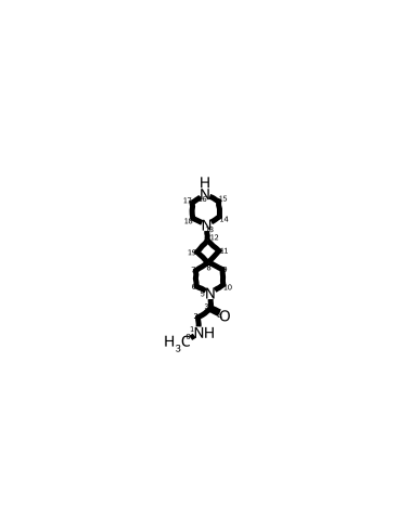 CNCC(=O)N1CCC2(CC1)CC(N1CCNCC1)C2